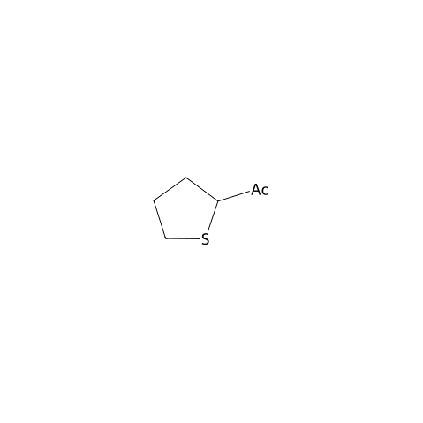 CC(=O)C1CCCS1